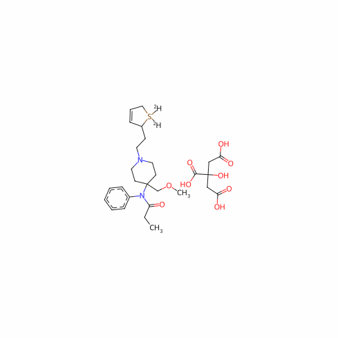 O=C(O)CC(O)(CC(=O)O)C(=O)O.[2H]S1([2H])CC=CC1CCN1CCC(COC)(N(C(=O)CC)c2ccccc2)CC1